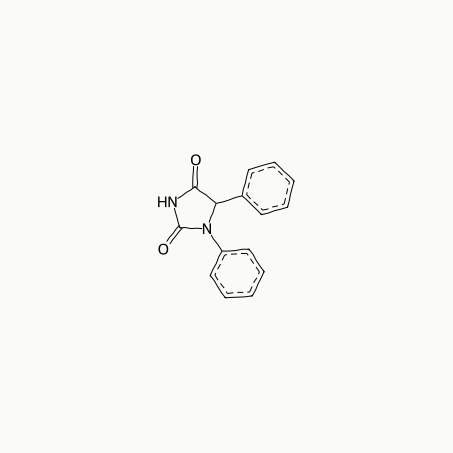 O=C1NC(=O)N(c2ccccc2)C1c1ccccc1